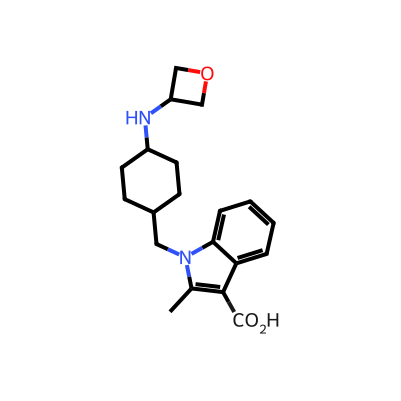 Cc1c(C(=O)O)c2ccccc2n1CC1CCC(NC2COC2)CC1